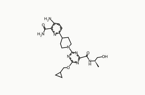 C[C@H](CO)NC(=O)c1nc(OCC2CC2)nc(N2CCC(c3ccc(N)c(C(N)=O)n3)CC2)n1